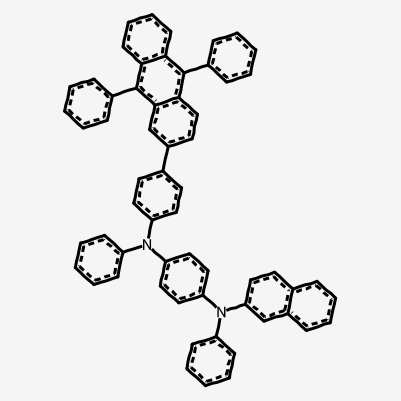 c1ccc(-c2c3ccccc3c(-c3ccccc3)c3cc(-c4ccc(N(c5ccccc5)c5ccc(N(c6ccccc6)c6ccc7ccccc7c6)cc5)cc4)ccc23)cc1